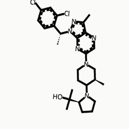 Cc1nn([C@H](C)c2ccc(Cl)cc2Cl)c2nc(N3CCC(N4CCC[C@H]4C(C)(C)O)[C@H](C)C3)cnc12